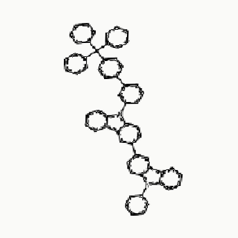 c1ccc(-n2c3ccccc3c3cc(-c4ccc5c(c4)c4ccccc4n5-c4cccc(-c5ccc(C(c6ccccc6)(c6ccccc6)c6ccccc6)cc5)c4)ccc32)cc1